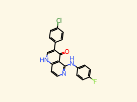 O=c1c(-c2ccc(Cl)cc2)c[nH]c2ccnc(Nc3ccc(F)cc3)c12